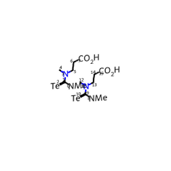 CNC(=[Te])N(C)CCC(=O)O.CNC(=[Te])N(C)CCC(=O)O